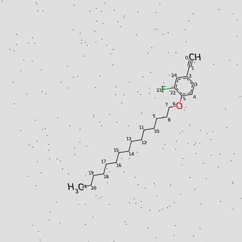 C#Cc1ccc(OCCCCCCCCCCCCCCC)c(F)c1